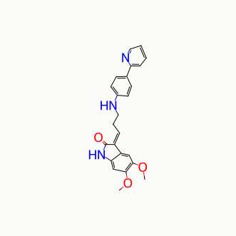 COc1cc2c(cc1OC)C(=CCCNc1ccc(-c3ccccn3)cc1)C(=O)N2